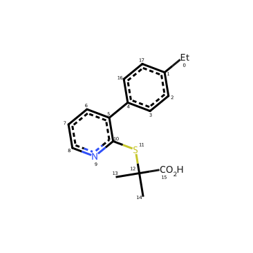 CCc1ccc(-c2cccnc2SC(C)(C)C(=O)O)cc1